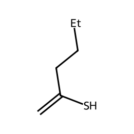 C=C(S)CCCC